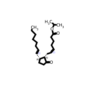 CCCCCC/C=C/[C@H]1CCC(=O)[C@H]1C/C=C\CCCC(=O)OC(C)C